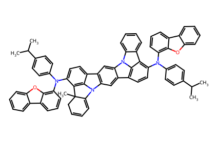 CC(C)c1ccc(N(c2ccc3c4cc5c(cc4n4c3c2C2(C)CC=CC=C42)c2ccc(N(c3ccc(C(C)C)cc3)c3cccc4c3oc3ccccc34)c3c4ccccc4n5c23)c2cccc3c2oc2ccccc23)cc1